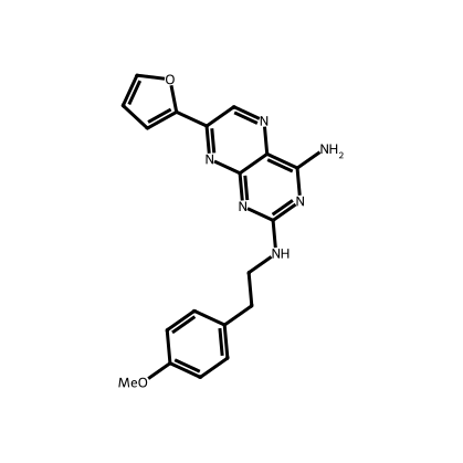 COc1ccc(CCNc2nc(N)c3ncc(-c4ccco4)nc3n2)cc1